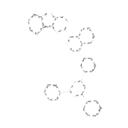 c1ccc(-c2cc(-c3cccc(-c4cnc(-c5ncc6oc7ccccc7c6n5)c5ccccc45)c3)nc(-c3ccccc3)n2)cc1